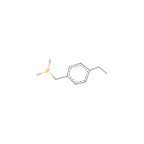 CCc1ccc(CP(C)I)cc1